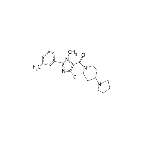 Cn1c(-c2cccc(C(F)(F)F)c2)nc(Cl)c1C(=O)N1CCC(N2CCCC2)CC1